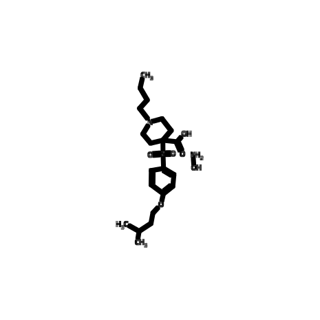 CCCCN1CCC(C(=O)O)(S(=O)(=O)c2ccc(OCCC(C)C)cc2)CC1.NO